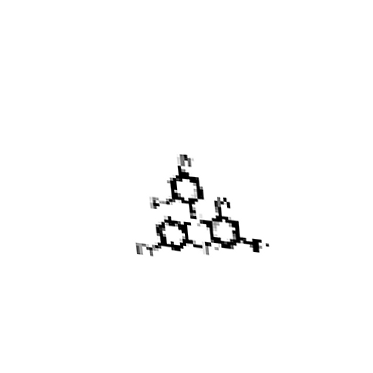 CC(C)c1cc[c]([Al]([c]2ccc(C(C)C)cc2C(C)C)[c]2ccc(C(C)C)cc2C(C)C)c(C(C)C)c1